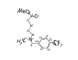 COC(=O)CCCCN(C)Cc1ccc(C(F)(F)F)cc1